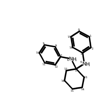 c1ccc(NC2(Nc3ccccc3)CCCCC2)cc1